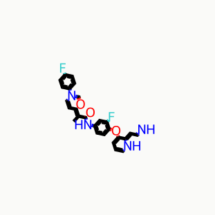 C/C(=C\C=C/N(C=O)c1ccc(F)cc1)C(=O)Nc1ccc(OC2=CC=CN/C2=C\C=N)c(F)c1